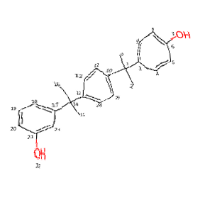 CC(C)(c1ccc(O)cc1)c1ccc(C(C)(C)c2cccc(O)c2)cc1